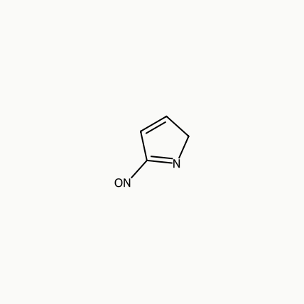 O=NC1=NCC=C1